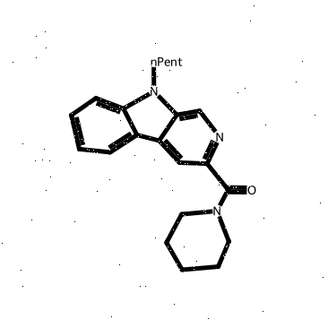 CCCCCn1c2ccccc2c2cc(C(=O)N3CCCCC3)ncc21